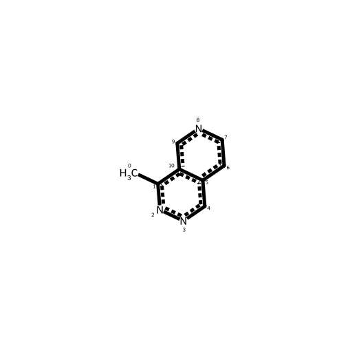 Cc1nncc2ccncc12